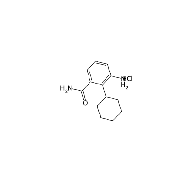 Cl.NC(=O)c1cccc(N)c1C1CCCCC1